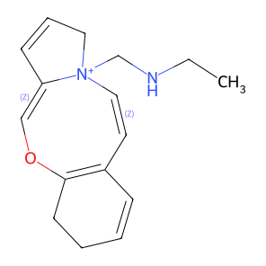 CCNC[N+]12/C=C\C3=C(CCC=C3)O/C=C\1C=CC2